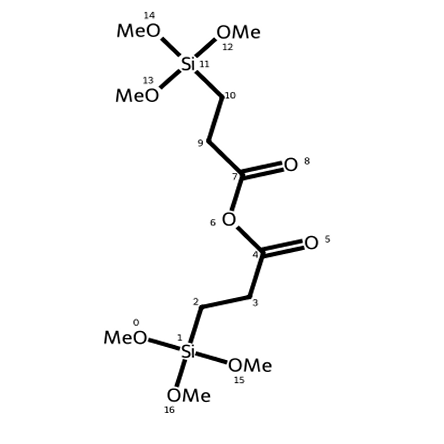 CO[Si](CCC(=O)OC(=O)CC[Si](OC)(OC)OC)(OC)OC